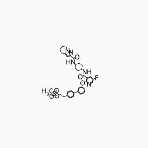 CS(=O)(=O)OCCc1ccc(-c2cccc(Oc3ncc(F)cc3C(=O)NC3CCC(NC(=O)c4cc5n(n4)CCCC5)CC3)c2)cc1